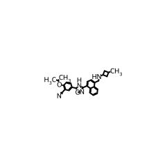 CC1CC(NCc2ccc(C3=NOC(c4ccc(OC(C)C)c(C#N)c4)N3)c3ccccc23)C1